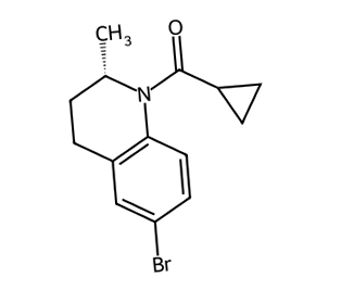 C[C@H]1CCc2cc(Br)ccc2N1C(=O)C1CC1